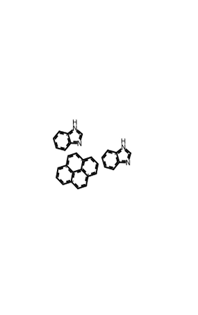 c1cc2ccc3cccc4ccc(c1)c2c34.c1ccc2[nH]cnc2c1.c1ccc2[nH]cnc2c1